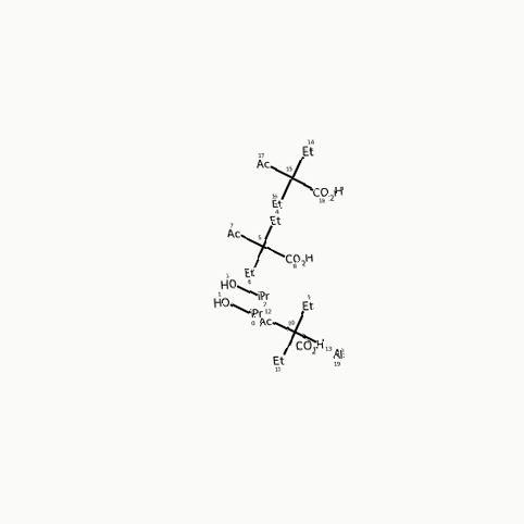 CC(C)O.CC(C)O.CCC(CC)(C(C)=O)C(=O)O.CCC(CC)(C(C)=O)C(=O)O.CCC(CC)(C(C)=O)C(=O)O.[Al]